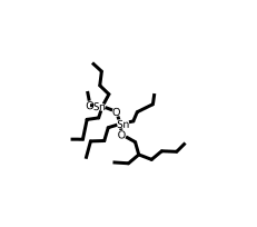 CCCCC(CC)C[O][Sn]([CH2]CCC)([CH2]CCC)[O][Sn]([CH2]CCC)([CH2]CCC)[O]C